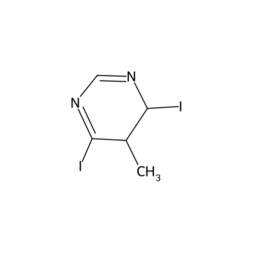 CC1C(I)=NC=NC1I